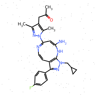 CC(=O)Cc1c(C)nn(-c2cc(N)[nH]c3c(ccn2)c(-c2ccc(F)cc2)nn3CC2CC2)c1C